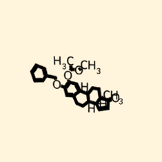 COC(C)Oc1cc2c(cc1OCc1ccccc1)CC[C@@H]1[C@@H]2CC[C@]2(C)C(=O)C=C[C@@H]12